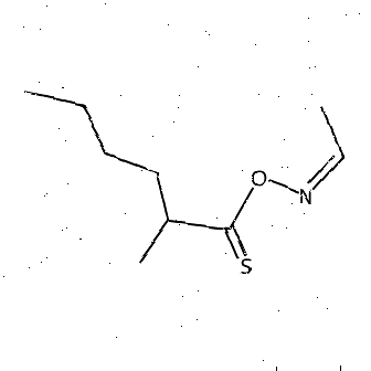 C/C=N\OC(=S)C(C)CCCC